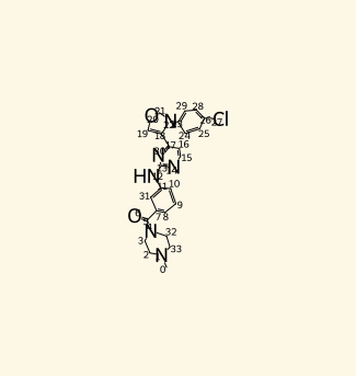 CN1CCN(C(=O)c2cccc(Nc3nccc(C4=COCN4c4ccc(Cl)cc4)n3)c2)CC1